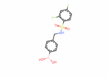 O=S(=O)(NCc1ccc(B(O)O)cc1)c1ccc(F)cc1F